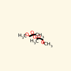 COCC1OC1(C)OC1(C)OC1COC